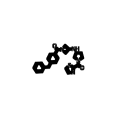 O=C(c1ccc(Cc2ccccc2)cc1)N1CC(N[C@@H]2CCN(C(=O)c3nccs3)C2)C1